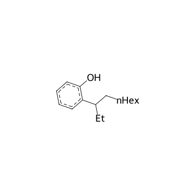 CCCCCCCC(CC)c1ccccc1O